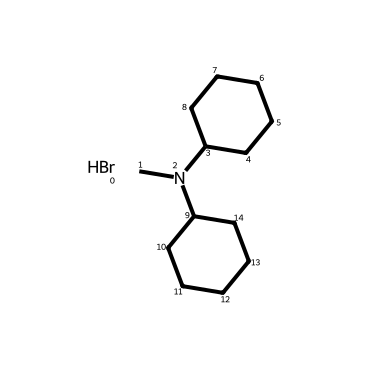 Br.CN(C1CCCCC1)C1CCCCC1